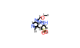 CCOCc1nc2cnc(C)c(C)c2n1NC1CCS(=O)(=O)CC1